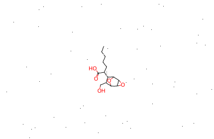 CCCCCC(C(=O)O)C1C(CO)C2OC1C1OC21